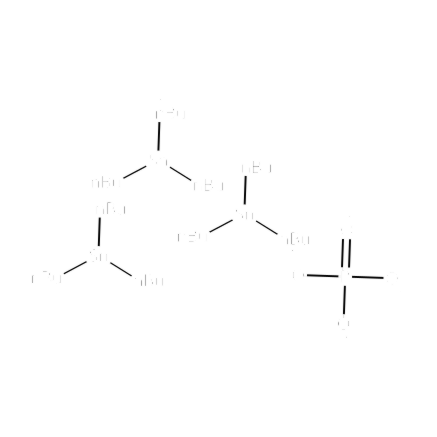 CCC[CH2][Sn+]([CH2]CCC)[CH2]CCC.CCC[CH2][Sn+]([CH2]CCC)[CH2]CCC.CCC[CH2][Sn+]([CH2]CCC)[CH2]CCC.O=P([O-])([O-])[O-]